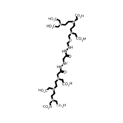 O=C(O)CN(CCN(COCNNC(=O)CNNC(=O)CN(CCN(CCN(CC(=O)O)CC(=O)O)CC(=O)O)CC(=O)O)CC(=O)O)CCN(CC(=O)O)CC(=O)O